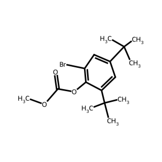 COC(=O)Oc1c(Br)cc(C(C)(C)C)cc1C(C)(C)C